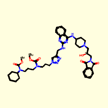 CC(C)(C)OC(=O)N(CCCN(C(=O)OC(C)(C)C)C1CCCCC1)CCCn1cc(CNc2nc(NC3CCN(C[C@H](O)CN4C(=O)c5ccccc5C4=O)CC3)c3ccccc3n2)nn1